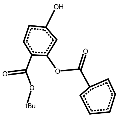 CC(C)(C)OC(=O)c1ccc(O)cc1OC(=O)c1ccccc1